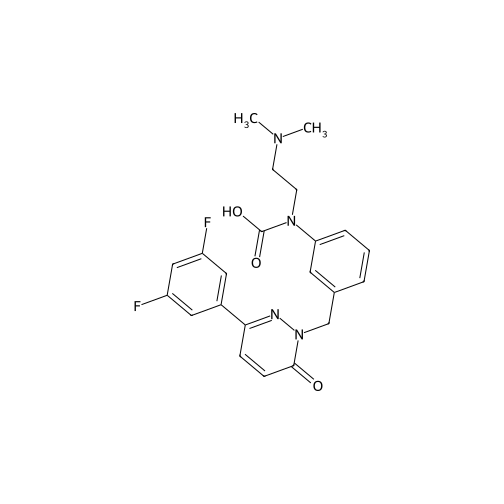 CN(C)CCN(C(=O)O)c1cccc(Cn2nc(-c3cc(F)cc(F)c3)ccc2=O)c1